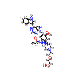 C=CC(=O)Nc1cc(Nc2cc(-c3cn(C)c4ccccc34)ncn2)c(OC)cc1N1CCN(CCOCCO)CC1